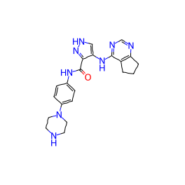 O=C(Nc1ccc(N2CCNCC2)cc1)c1n[nH]cc1Nc1ncnc2c1CCC2